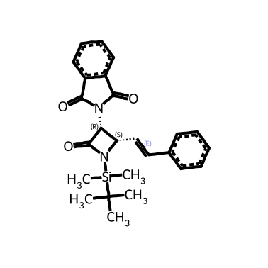 CC(C)(C)[Si](C)(C)N1C(=O)[C@H](N2C(=O)c3ccccc3C2=O)[C@@H]1/C=C/c1ccccc1